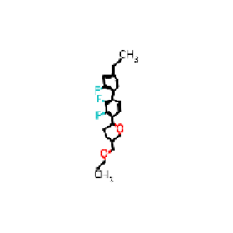 CCCOCC1CCC(c2ccc(-c3ccc(CCC)cc3F)c(F)c2F)OC1